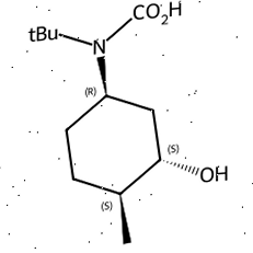 C[C@H]1CC[C@@H](N(C(=O)O)C(C)(C)C)C[C@@H]1O